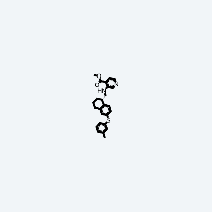 COC(=O)c1ccncc1NC[C@H]1CCCc2cc(Sc3cccc(C)c3)ccc21